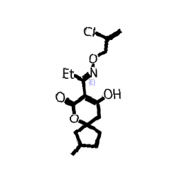 C=C(Cl)CO/N=C(\CC)C1=C(O)CC2(CCC(C)C2)OC1=O